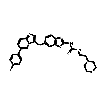 O=C(NCCN1CCOCC1)Nc1nc2ccc(Sc3cnc4ccc(-c5ccc(F)cc5)cn34)cc2s1